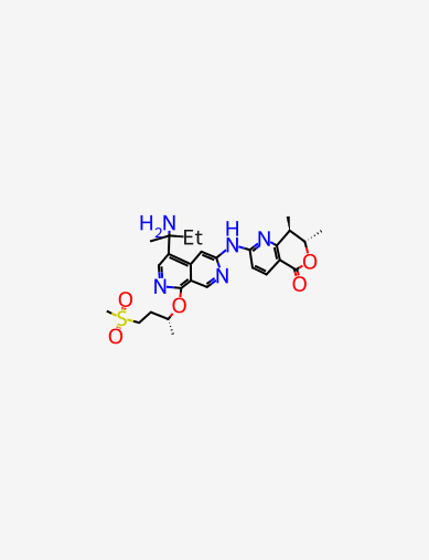 CCC(C)(N)c1cnc(O[C@H](C)CCS(C)(=O)=O)c2cnc(Nc3ccc4c(n3)[C@@H](C)[C@H](C)OC4=O)cc12